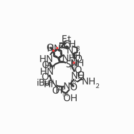 CC[C@H](C)[C@@H]1NC(=O)[C@@H]2C[C@@H](O)CN2C(=O)[C@H](CC(N)=O)NC(=O)[C@H]2NC(=O)[C@H]3CCCN3C(=O)[C@@]3(CC3(C)CC)NC(=O)CNC(=O)[C@H](Cc3c([nH]c4ccccc34)S2)NC1=O